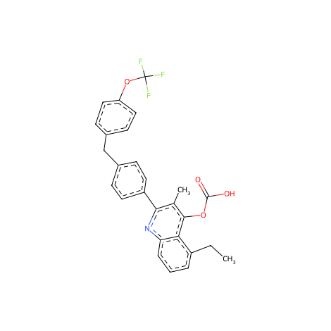 CCc1cccc2nc(-c3ccc(Cc4ccc(OC(F)(F)F)cc4)cc3)c(C)c(OC(=O)O)c12